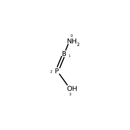 NB=PO